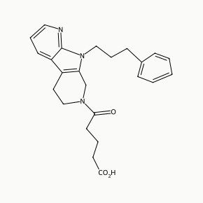 O=C(O)CCCC(=O)N1CCc2c(n(CCCc3ccccc3)c3ncccc23)C1